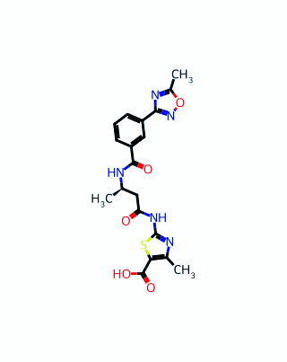 Cc1nc(-c2cccc(C(=O)N[C@H](C)CC(=O)Nc3nc(C)c(C(=O)O)s3)c2)no1